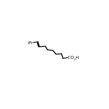 CC(C)/C=C/CCCCCCC(=O)O